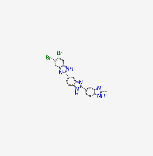 Cc1nc2cc(-c3nc4cc(-c5nc6cc(Br)c(Br)cc6[nH]5)ccc4[nH]3)ccc2[nH]1